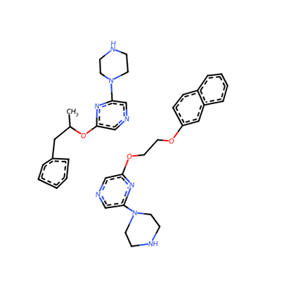 CC(Cc1ccccc1)Oc1cncc(N2CCNCC2)n1.c1ccc2cc(OCCOc3cncc(N4CCNCC4)n3)ccc2c1